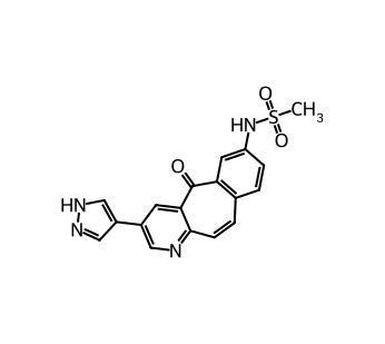 CS(=O)(=O)Nc1ccc2ccc3ncc(-c4cn[nH]c4)cc3c(=O)c2c1